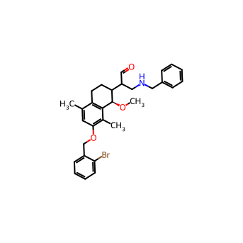 CO[C@H]1c2c(C)c(OCc3ccccc3Br)cc(C)c2CCC1C(C=O)CNCc1ccccc1